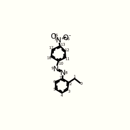 CCc1ccccc1N=Nc1ccc([N+](=O)[O-])cc1